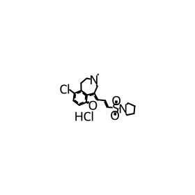 CN1CCc2c(Cl)ccc3oc(/C=C/S(=O)(=O)N4CCCC4)c(c23)C1.Cl